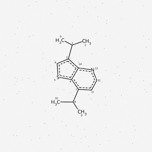 CC(C)c1csc2c(C(C)C)ccnc12